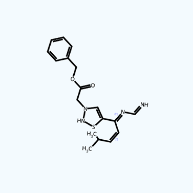 CC(C)/C=C\C(=N/C=N)C1=CN(CC(=O)OCc2ccccc2)NS1